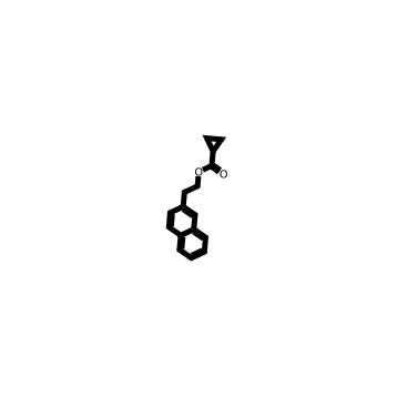 O=C(OCCc1ccc2ccccc2c1)C1CC1